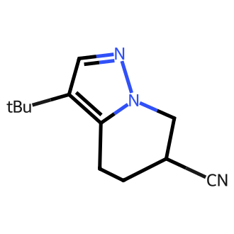 CC(C)(C)c1cnn2c1CCC(C#N)C2